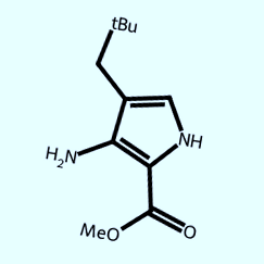 COC(=O)c1[nH]cc(CC(C)(C)C)c1N